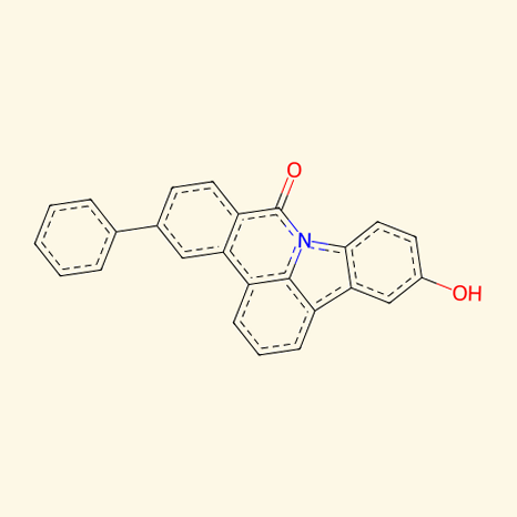 O=c1c2ccc(-c3ccccc3)cc2c2cccc3c4cc(O)ccc4n1c23